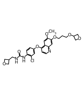 COc1cc2c(Oc3ccc(NC(=O)NCC4COC4)c(Cl)c3)ccnc2cc1OCCCOC1COC1